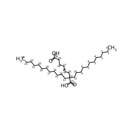 CCCCCCCCCCCCC(CCCCCCCCCCCC)(CSCCCC(=O)O)C(=O)O